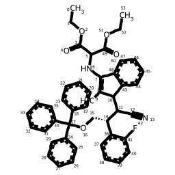 CCOC(=O)C(NC1=C(C)C(C(C#N)[C@@H](COC(c2ccccc2)(c2ccccc2)c2ccccc2)c2ccccc2F)c2ccccc21)C(=O)OCC